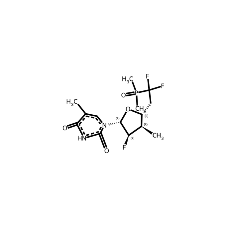 Cc1cn([C@@H]2O[C@H](CC(F)(F)P(C)(C)=O)[C@@H](C)[C@H]2F)c(=O)[nH]c1=O